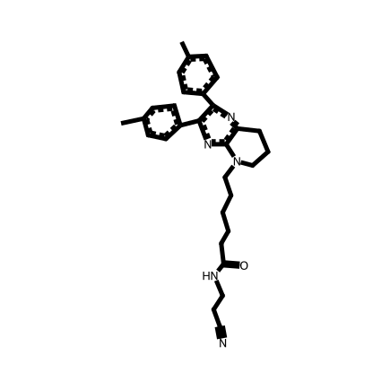 Cc1ccc(-c2nc3c(nc2-c2ccc(C)cc2)N(CCCCCC(=O)NCCC#N)CCC3)cc1